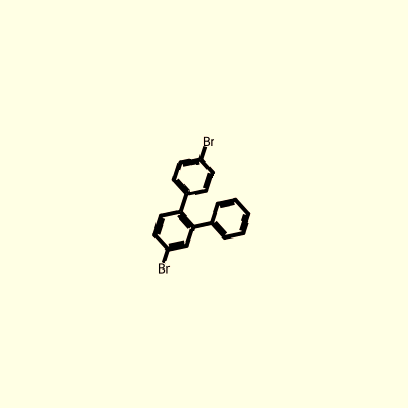 Brc1ccc(-c2ccc(Br)cc2-c2ccccc2)cc1